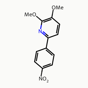 COc1ccc(-c2ccc([N+](=O)[O-])cc2)nc1OC